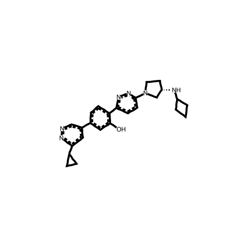 Oc1cc(-c2cnnc(C3CC3)c2)ccc1-c1ccc(N2CC[C@H](NC3CCC3)C2)nn1